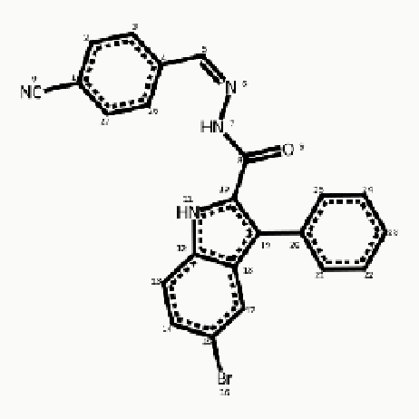 N#Cc1ccc(/C=N\NC(=O)c2[nH]c3ccc(Br)cc3c2-c2ccccc2)cc1